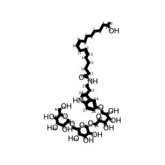 CC(O)CCCCCC/C=C\C/C=C\CCCCC(=O)NCCc1c[nH]c2ccc(OC3OC(COC4OC(COC5OC(CO)C(O)C(O)C5O)C(O)C(O)C4O)C(O)C(O)C3O)cc12